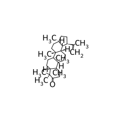 C=C(C)[C@@H]1CC[C@]2(C)CC[C@]3(C)[C@@H](CC[C@@H]4[C@@]5(C)C=CC(=O)C(C)(C)[C@@H]5CC[C@]43C)[C@@H]12